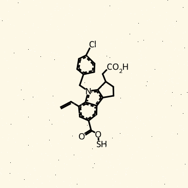 C=Cc1cc(C(=O)OS)cc2c3c(n(Cc4ccc(Cl)cc4)c12)C(CC(=O)O)CC3